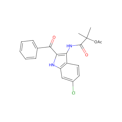 CC(=O)OC(C)(C)C(=O)Nc1c(C(=O)c2ccccc2)[nH]c2cc(Cl)ccc12